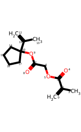 C=C(C)C(=O)OCC(=O)OC1(C(=C)C)CCCC1